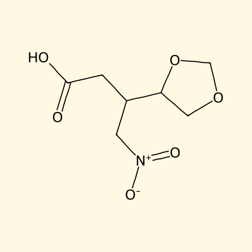 O=C(O)CC(C[N+](=O)[O-])C1COCO1